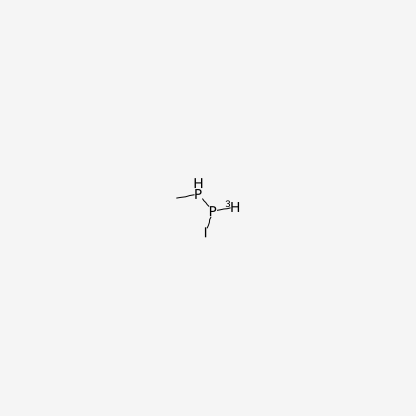 [3H]P(I)PC